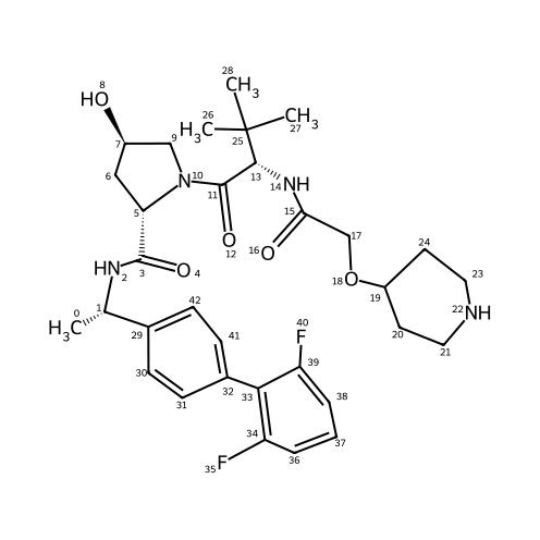 C[C@H](NC(=O)[C@@H]1C[C@@H](O)CN1C(=O)[C@@H](NC(=O)COC1CCNCC1)C(C)(C)C)c1ccc(-c2c(F)cccc2F)cc1